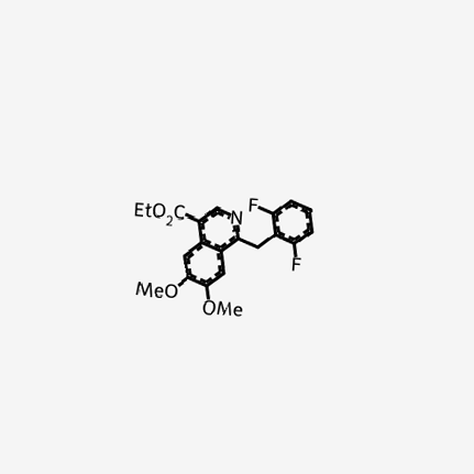 CCOC(=O)c1cnc(Cc2c(F)cccc2F)c2cc(OC)c(OC)cc12